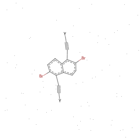 Brc1ccc2c(C#[C][Y])c(Br)ccc2c1C#[C][Y]